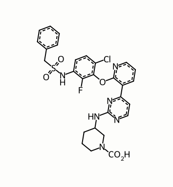 O=C(O)N1CCCC(Nc2nccc(-c3cccnc3Oc3c(Cl)ccc(NS(=O)(=O)Cc4ccccc4)c3F)n2)C1